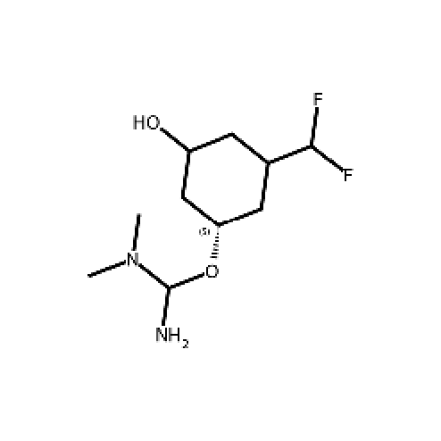 CN(C)C(N)O[C@@H]1CC(O)CC(C(F)F)C1